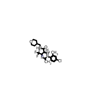 C=C(/N=C(\C(=C)C(=O)NCC1CCOCC1)C(F)(F)F)Nc1ccc(Cl)cc1C